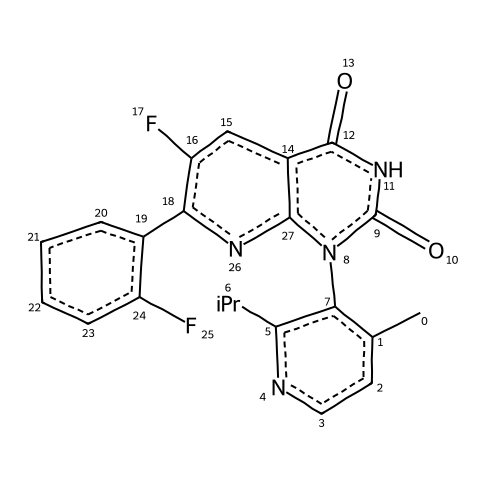 Cc1ccnc(C(C)C)c1-n1c(=O)[nH]c(=O)c2cc(F)c(-c3ccccc3F)nc21